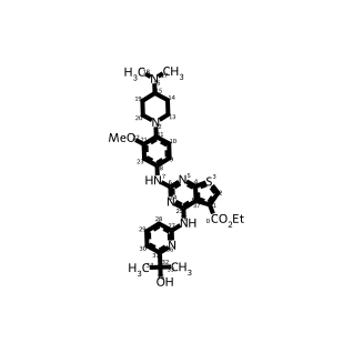 CCOC(=O)c1csc2nc(Nc3ccc(N4CCC(N(C)C)CC4)c(OC)c3)nc(Nc3cccc(C(C)(C)O)n3)c12